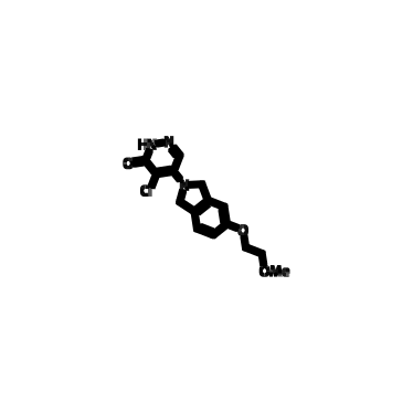 COCCOc1ccc2c(c1)CN(c1cn[nH]c(=O)c1Cl)C2